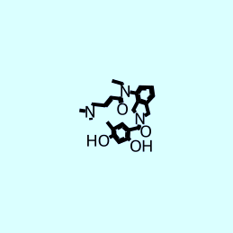 CCN(C(=O)/C=C/CN(C)C)c1cccc2c1CN(C(=O)c1cc(C)c(O)cc1O)C2